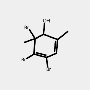 CC1=CC(Br)=C(Br)C(C)(Br)C1O